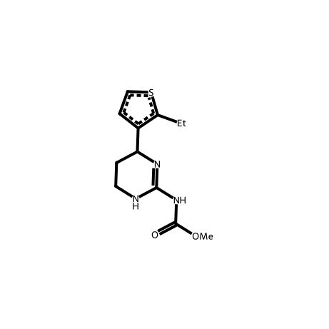 CCc1sccc1C1CCNC(NC(=O)OC)=N1